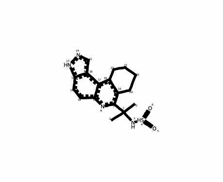 CC(C)(N[SH](=O)=O)c1nc2ccc3[nH]ncc3c2c2c1CCCC2